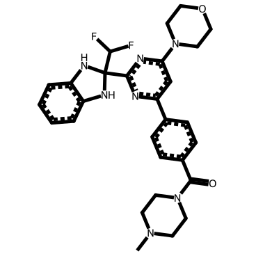 CN1CCN(C(=O)c2ccc(-c3cc(N4CCOCC4)nc(C4(C(F)F)Nc5ccccc5N4)n3)cc2)CC1